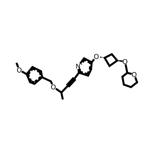 COc1ccc(COC(C)C#Cc2ccc(O[C@H]3C[C@H](OC4CCCCO4)C3)cn2)cc1